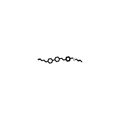 C=CCCCC1CCC(C2CCC(CCc3ccc(COCC=CC)cc3)CC2)CC1